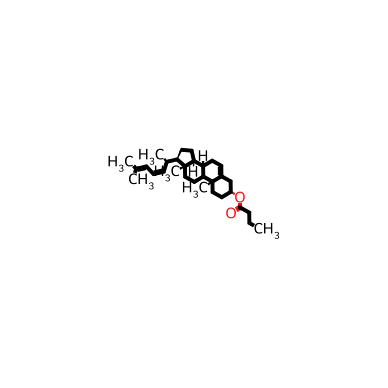 CCCC(=O)O[C@H]1CC[C@@]2(C)C(=CC[C@@H]3C2CC[C@]2(C)[C@@H]([C@H](C)/C=C\C=C(C)C)CC[C@@H]32)C1